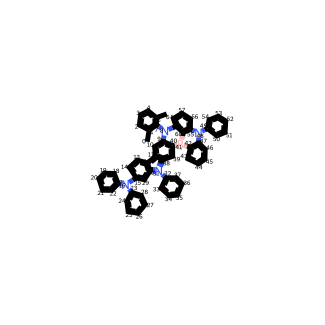 Cc1cccc(C)c1N1c2cc3c4ccc(N(c5ccccc5)c5ccccc5)cc4n(-c4ccccc4)c3cc2B2c3ccccc3N(c3ccccc3)c3cccc1c32